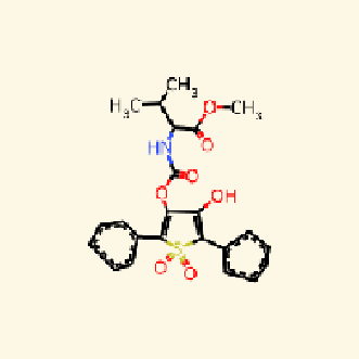 COC(=O)C(NC(=O)OC1=C(c2ccccc2)S(=O)(=O)C(c2ccccc2)=C1O)C(C)C